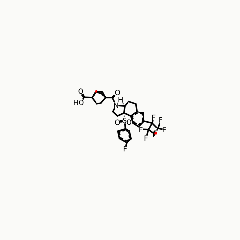 O=C(O)C12CCC(C(=O)N3CC[C@]4(S(=O)(=O)c5ccc(F)cc5)c5ccc(C(F)(C(F)(F)F)C(F)(F)F)cc5CC[C@H]34)(CC1)CC2